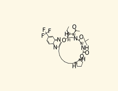 CC[C@@H]1[C@@H]2CN(C(=O)[C@H](C(C)(C)C)NC(=O)O[C@@H]3CCC[C@H]3CCCCCCc3nc4ccc(C(F)(F)F)cc4nc3O2)[C@@H]1C(C)=O